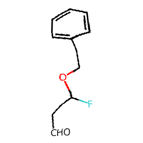 O=CCC(F)OCc1ccccc1